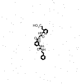 O=C(O)CCc1cccnc1NC(=O)CNC(=O)c1cccc(NC(=O)NCCc2ccccc2)c1